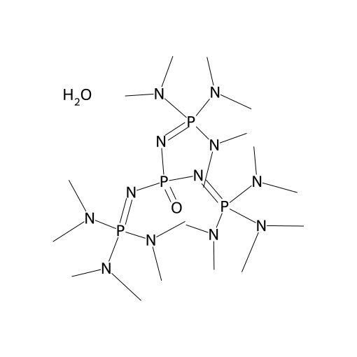 CN(C)P(=NP(=O)(N=P(N(C)C)(N(C)C)N(C)C)N=P(N(C)C)(N(C)C)N(C)C)(N(C)C)N(C)C.O